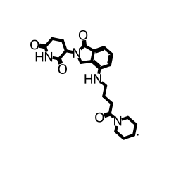 O=C1CCC(N2Cc3c(NCCCC(=O)N4CC[CH]CC4)cccc3C2=O)C(=O)N1